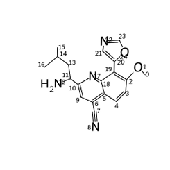 COc1ccc2c(C#N)cc(C(N)CC(C)C)nc2c1-c1cnco1